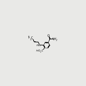 NC(=O)c1ccc(C(=O)O)c(NCCC(F)(F)F)c1